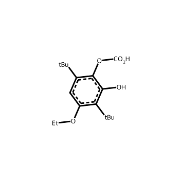 CCOc1cc(C(C)(C)C)c(OC(=O)O)c(O)c1C(C)(C)C